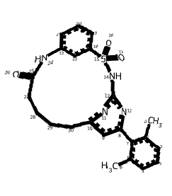 Cc1cccc(C)c1-c1cc2nc(n1)NS(=O)(=O)c1cccc(c1)NC(=O)CCCC2